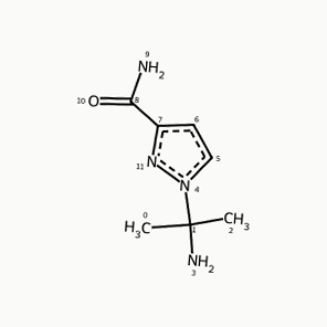 CC(C)(N)n1ccc(C(N)=O)n1